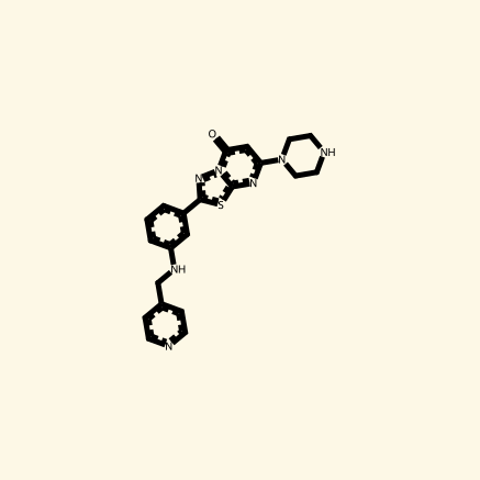 O=c1cc(N2CCNCC2)nc2sc(-c3cccc(NCc4ccncc4)c3)nn12